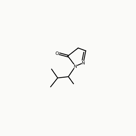 CC(C)C(C)N1N=CCC1=O